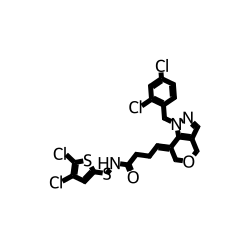 O=C(CC/C=C1\COCc2cnn(Cc3ccc(Cl)cc3Cl)c21)NSc1cc(Cl)c(Cl)s1